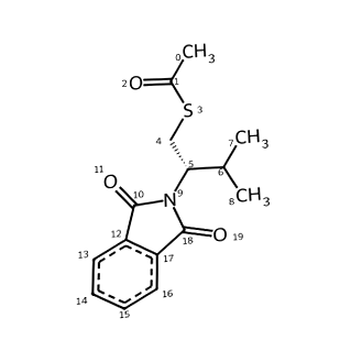 CC(=O)SC[C@H](C(C)C)N1C(=O)c2ccccc2C1=O